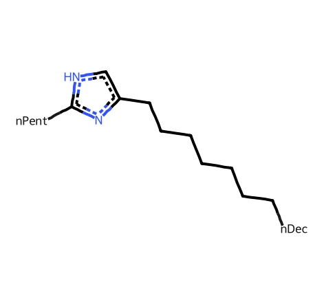 CCCCCCCCCCCCCCCCCc1c[nH]c(CCCCC)n1